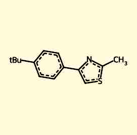 Cc1nc(-c2ccc(C(C)(C)C)cc2)cs1